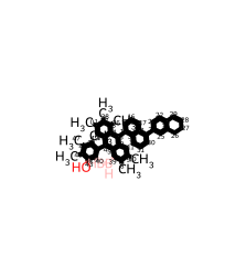 Cc1cc2c3c4c(c(C)c(C)cc4c(-c4cccc5c(-c6ccc7c(c6)CCC=C7)cccc45)c2c(C)c1C)BBc1c(O)c(C)c(C)c(C)c1-3